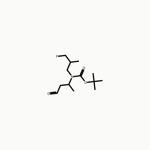 CC(CF)CN(C(=O)OC(C)(C)C)C(C)CC=O